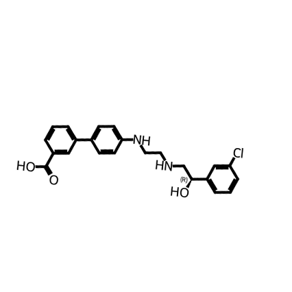 O=C(O)c1cccc(-c2ccc(NCCNC[C@H](O)c3cccc(Cl)c3)cc2)c1